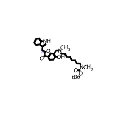 CN(CCCCCCCCN(C)C(=O)OC(C)(C)C)Cc1c(O)ccc2c1O/C(=C\c1c[nH]c3ccccc13)C2=O